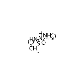 Cc1cccc(NC(=S)NC(=O)C(N)Cc2ccccc2)c1